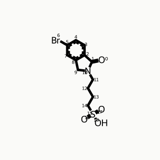 O=C1c2ccc(Br)cc2CN1CCCCS(=O)(=O)O